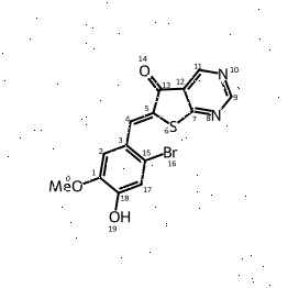 COc1cc(/C=C2\Sc3ncncc3C2=O)c(Br)cc1O